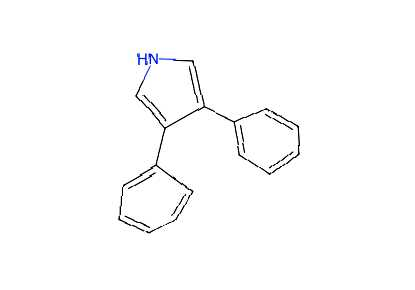 c1ccc(-c2c[nH]cc2-c2ccccc2)cc1